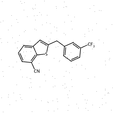 N#Cc1cccc2cc(Cc3cccc(C(F)(F)F)c3)sc12